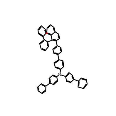 c1ccc(-c2ccc(N(c3ccc(-c4ccccc4)cc3)c3ccc(-c4ccc(-c5ccc6ccccc6c5-c5ccccc5-c5ccccc5)cc4)cc3)cc2)cc1